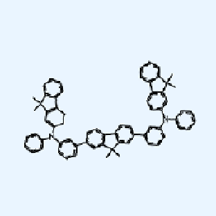 CC1(C)C2=C(CCC(N(c3ccccc3)c3cccc(-c4ccc5c(c4)C(C)(C)c4cc(-c6cccc(N(c7ccccc7)c7ccc8c(c7)C(C)(C)c7ccccc7-8)c6)ccc4-5)c3)=C2)c2ccccc21